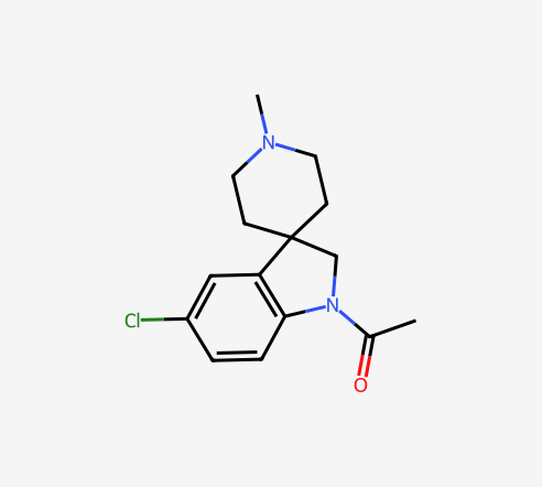 CC(=O)N1CC2(CCN(C)CC2)c2cc(Cl)ccc21